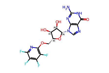 Nc1nc2c(ncn2[C@@H]2O[C@H](COc3nc(F)c(F)c(F)c3F)[C@@H](O)[C@H]2O)c(=O)[nH]1